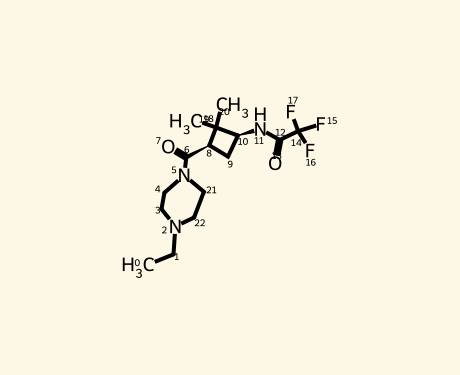 CCN1CCN(C(=O)[C@@H]2C[C@H](NC(=O)C(F)(F)F)C2(C)C)CC1